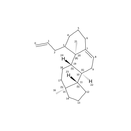 C=CCC1CCCC2=CC[C@H]3[C@@H]4CCC[C@@]4(C)CC[C@@H]3[C@]21C